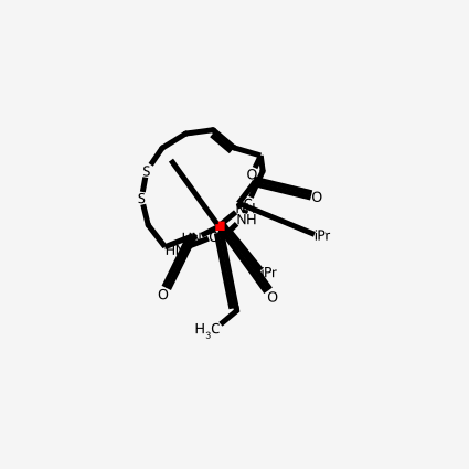 C/C=C1\NC(=O)C2CSSCC/C=C/C(CCNC(C(C)C)CN2)OC(=O)C(C(C)C)NC1=O